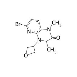 CC1C(=O)N(C)c2ccc(Br)nc2N1C1COC1